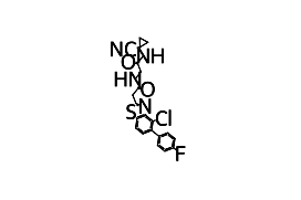 N#CC1(NC(=O)CNC(=O)Cc2nc3c(Cl)c(-c4ccc(F)cc4)ccc3s2)CC1